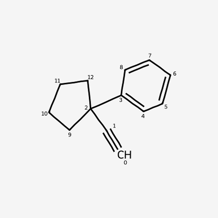 C#CC1(c2ccccc2)CCCC1